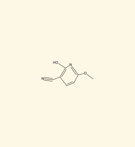 COc1ccc(C#N)c(O)n1